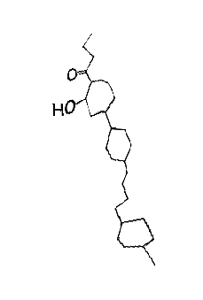 CCCC(=O)C1CCC(C2CCC(CCCCC3CCC(C)CC3)CC2)CC1O